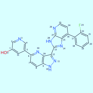 Oc1cncc(-c2ccc3[nH]nc(-c4nc5c(-c6ccccc6F)ccnc5[nH]4)c3n2)c1